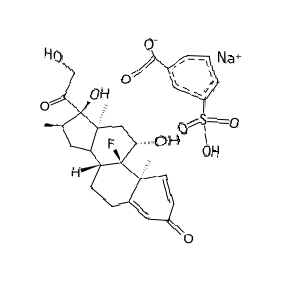 C[C@@H]1CC2[C@H]3CCC4=CC(=O)C=C[C@]4(C)[C@@]3(F)[C@@H](O)C[C@]2(C)[C@@]1(O)C(=O)CO.O=C([O-])c1cccc(S(=O)(=O)O)c1.[Na+]